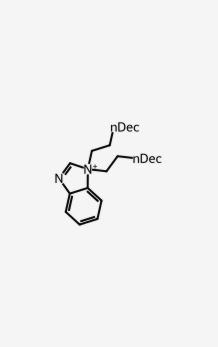 CCCCCCCCCCCC[N+]1(CCCCCCCCCCCC)C=Nc2ccccc21